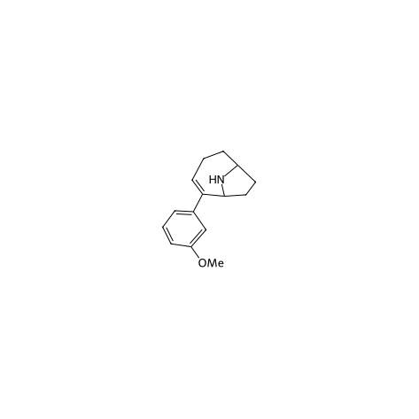 COc1cccc(C2=CCCC3CCC2N3)c1